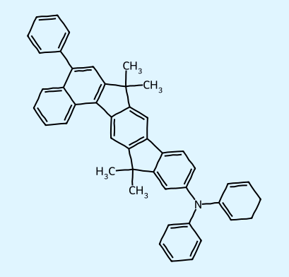 CC1(C)c2cc(N(C3=CCCC=C3)c3ccccc3)ccc2-c2cc3c(cc21)-c1c(cc(-c2ccccc2)c2ccccc12)C3(C)C